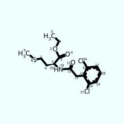 CCOC(=O)[C@H](CCSC)NC(=O)Cc1c(Cl)cccc1Cl